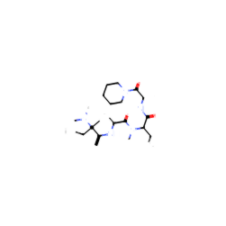 C=C(NC(C(=O)N(C)C(CC(C)C)C(=O)N[C@@H](C)C(=O)N1CCCCC1)C(C)C)C(C)(CC(C)C)N(C)C(C)=O